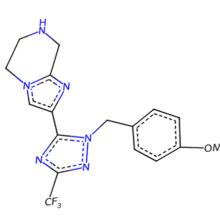 COc1ccc(Cn2nc(C(F)(F)F)nc2-c2cn3c(n2)CNCC3)cc1